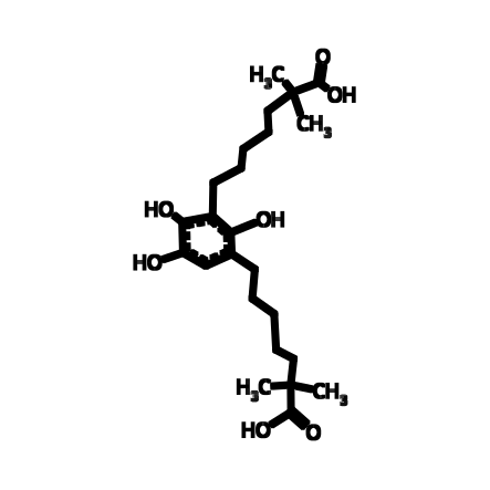 CC(C)(CCCCCc1cc(O)c(O)c(CCCCCC(C)(C)C(=O)O)c1O)C(=O)O